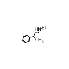 CCNCCC(C)c1ccccc1